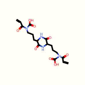 C=CC(=O)N(CCCC1NC(=O)C(CCCN(C(=O)O)C(=O)C=C)NC1=O)C(=O)O